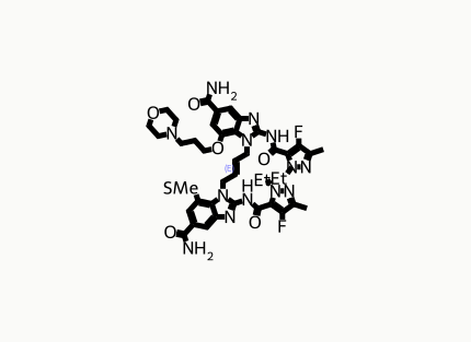 CCn1nc(C)c(F)c1C(=O)Nc1nc2cc(C(N)=O)cc(OCCCN3CCOCC3)c2n1C/C=C/Cn1c(NC(=O)c2c(F)c(C)nn2CC)nc2cc(C(N)=O)cc(SC)c21